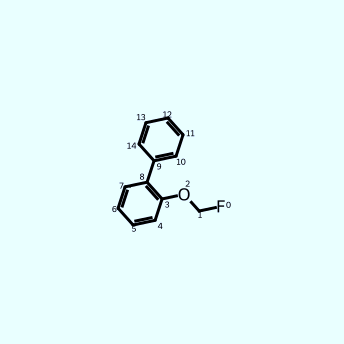 FCOc1ccc[c]c1-c1ccccc1